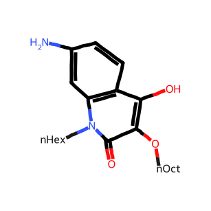 CCCCCCCCOc1c(O)c2ccc(N)cc2n(CCCCCC)c1=O